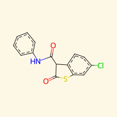 O=C(Nc1ccccc1)C1C(=O)Sc2cc(Cl)ccc21